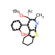 CC(=O)[C@@H](OC(C)(C)C)c1c(C)nc2sc3c(c2c1-c1ccccc1O)CCCC3